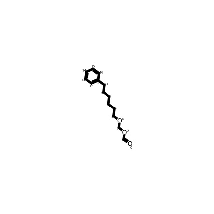 O=[C]OCOCCCCCCc1ccccc1